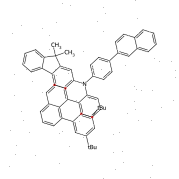 CC(C)(C)c1cc(-c2cccc3cccc(-c4ccccc4N(c4ccc(-c5ccc6ccccc6c5)cc4)c4ccc5c(c4)C(C)(C)c4ccccc4-5)c23)cc(C(C)(C)C)c1